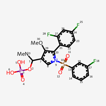 CNC(OP(=O)(O)O)c1cn(S(=O)(=O)c2cccc(F)c2)c(-c2ccc(F)cc2F)c1OC